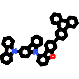 c1cc(-n2c3ccccc3c3cc(-n4c5ccccc5c5ccccc54)ccc32)c2c(c1)oc1cc(-c3ccc4c5ccccc5c5ccccc5c4c3)ccc12